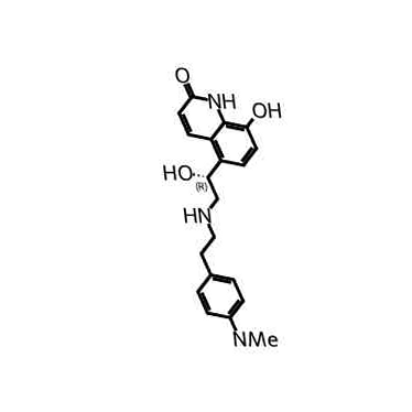 CNc1ccc(CCNC[C@H](O)c2ccc(O)c3[nH]c(=O)ccc23)cc1